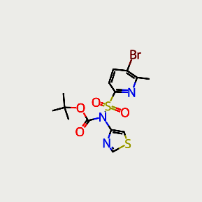 Cc1nc(S(=O)(=O)N(C(=O)OC(C)(C)C)c2cscn2)ccc1Br